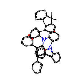 CC1(C)c2ccccc2-c2c(-c3ccccc3N(c3ccc(-c4ccccc4)cc3-c3ccccc3)c3ccccc3-n3c4ccccc4c4ccccc43)cccc21